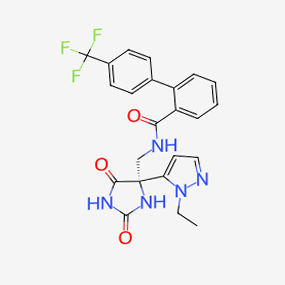 CCn1nccc1[C@@]1(CNC(=O)c2ccccc2-c2ccc(C(F)(F)F)cc2)NC(=O)NC1=O